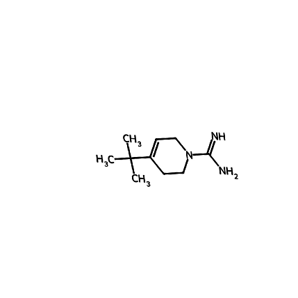 CC(C)(C)C1=CCN(C(=N)N)CC1